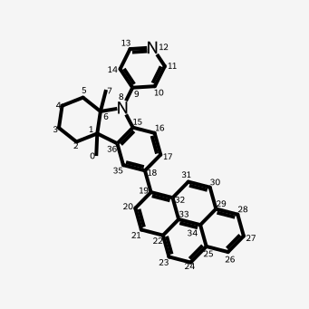 CC12CCCCC1(C)N(c1ccncc1)c1ccc(-c3ccc4ccc5cccc6ccc3c4c56)cc12